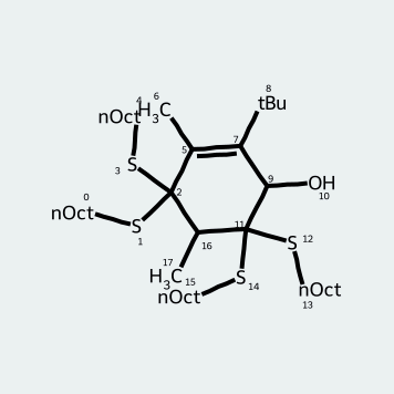 CCCCCCCCSC1(SCCCCCCCC)C(C)=C(C(C)(C)C)C(O)C(SCCCCCCCC)(SCCCCCCCC)C1C